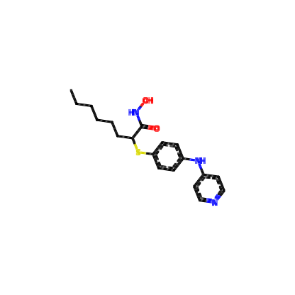 CCCCCCC(Sc1ccc(Nc2ccncc2)cc1)C(=O)NO